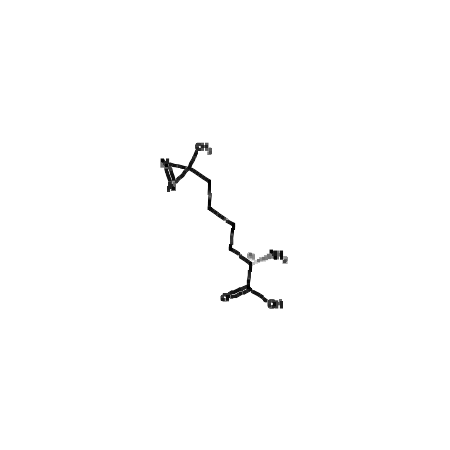 CC1(CCCC[C@H](N)C(=O)O)N=N1